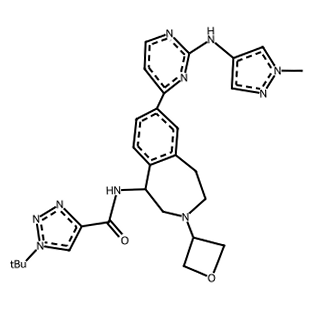 Cn1cc(Nc2nccc(-c3ccc4c(c3)CCN(C3COC3)CC4NC(=O)c3cn(C(C)(C)C)nn3)n2)cn1